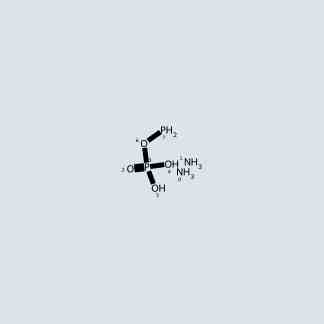 N.N.O=P(O)(O)OP